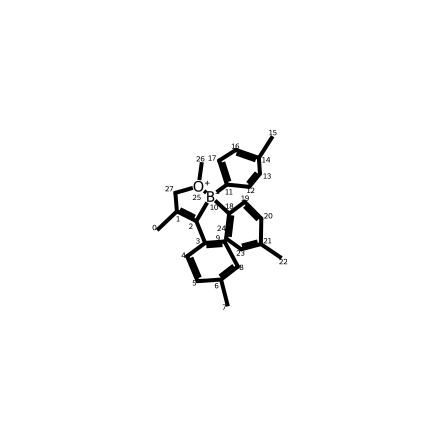 CC1=C(c2ccc(C)cc2)[B-](c2ccc(C)cc2)(c2ccc(C)cc2)[O+](C)C1